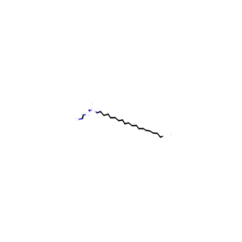 CCCCCCCCCCCCCCCCCCCCNC(C)NCCN